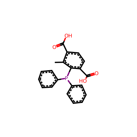 Cc1c(C(=O)O)ccc(C(=O)O)c1P(c1ccccc1)c1ccccc1